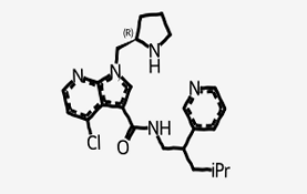 CC(C)CC(CNC(=O)c1cn(C[C@H]2CCCN2)c2nccc(Cl)c12)c1cccnc1